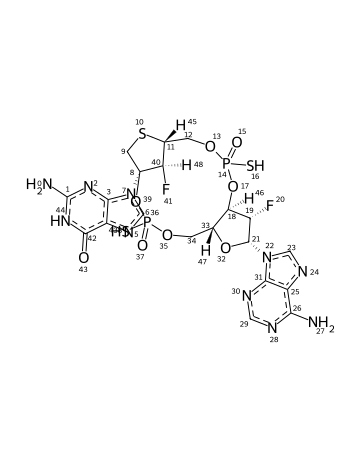 Nc1nc2c(ncn2[C@@]23CS[C@H](COP(=O)(S)O[C@H]4[C@H](F)[C@H](n5cnc6c(N)ncnc65)O[C@@H]4COP(=O)(S)O2)[C@H]3F)c(=O)[nH]1